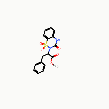 COC(=O)C(Cc1ccccc1)N1C(=O)Nc2ccccc2S1(=O)=O